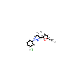 N#Cc1cn(-c2cccc(Cl)c2)nc1-c1ccc([N+](=O)[O-])o1